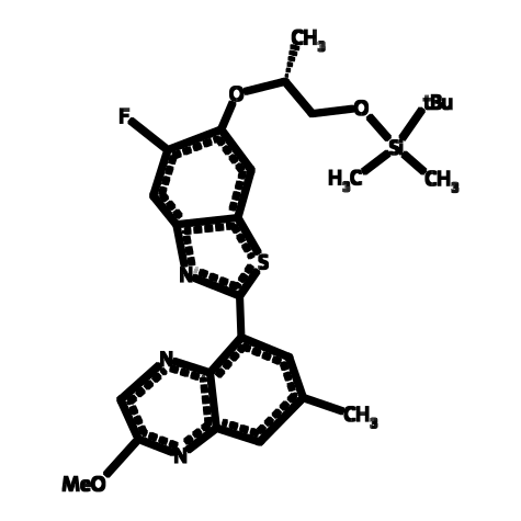 COc1cnc2c(-c3nc4cc(F)c(O[C@H](C)CO[Si](C)(C)C(C)(C)C)cc4s3)cc(C)cc2n1